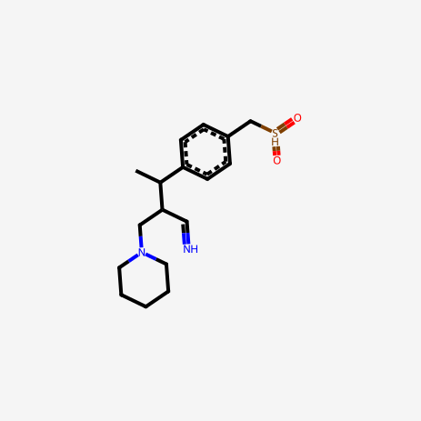 CC(c1ccc(C[SH](=O)=O)cc1)C(C=N)CN1CCCCC1